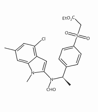 CCOC(=O)CS(=O)(=O)c1ccc([C@@H](C)N(C=O)c2cc3c(Cl)cc(C)cc3n2C)cc1